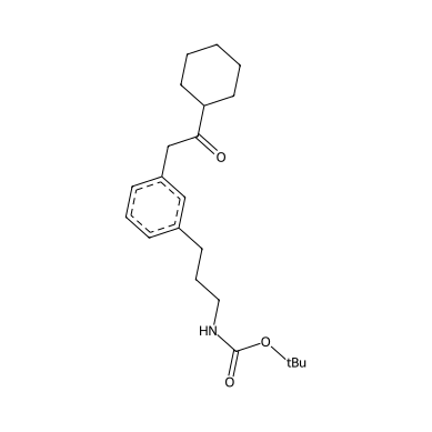 CC(C)(C)OC(=O)NCCCc1cccc(CC(=O)C2CCCCC2)c1